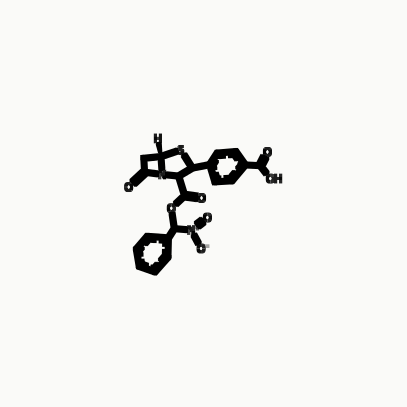 O=C(O)c1ccc(C2S[C@H]3CC(=O)N3C2C(=O)OC(c2ccccc2)[N+](=O)[O-])cc1